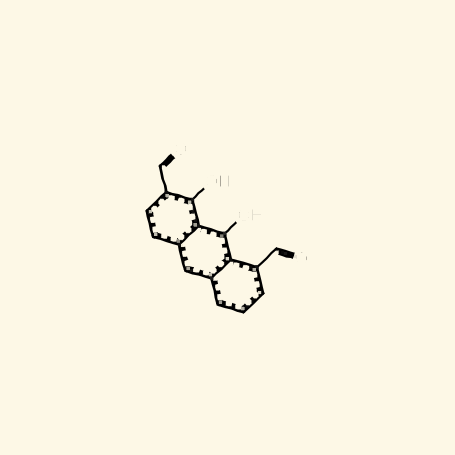 O=Cc1ccc2cc3cccc(C=O)c3c(O)c2c1O